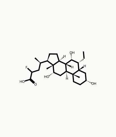 CC[C@H]1[C@@H](O)[C@@H]2[C@H](C[C@H](O)[C@]3(C)[C@@H]([C@H](C)CC(F)C(=O)O)CC[C@@H]23)[C@@]2(C)CC[C@@H](O)C[C@@H]12